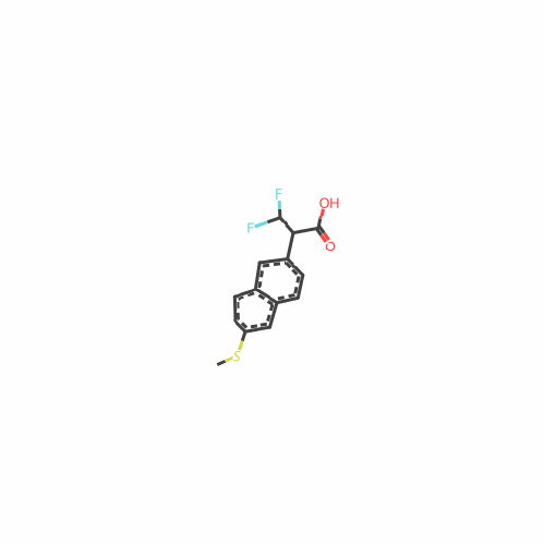 CSc1ccc2cc(C(C(=O)O)C(F)F)ccc2c1